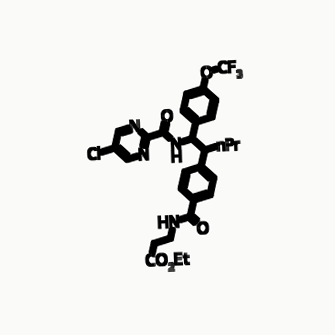 CCCC(c1ccc(C(=O)NCCC(=O)OCC)cc1)C(NC(=O)c1ncc(Cl)cn1)c1ccc(OC(F)(F)F)cc1